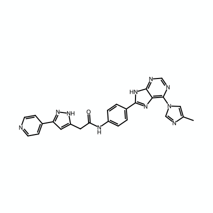 Cc1cn(-c2ncnc3[nH]c(-c4ccc(NC(=O)Cc5cc(-c6ccncc6)n[nH]5)cc4)nc23)cn1